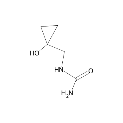 NC(=O)NCC1(O)CC1